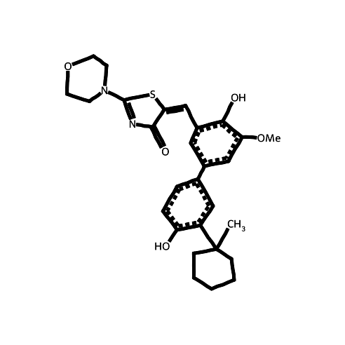 COc1cc(-c2ccc(O)c(C3(C)CCCCC3)c2)cc(C=C2SC(N3CCOCC3)=NC2=O)c1O